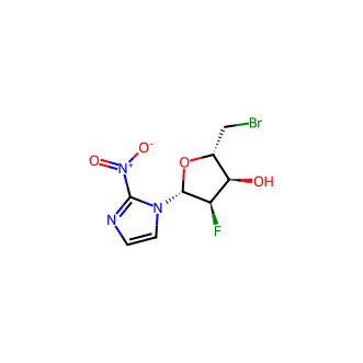 O=[N+]([O-])c1nccn1[C@@H]1O[C@H](CBr)[C@@H](O)[C@H]1F